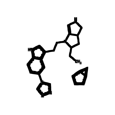 CCC1CC2CNC=C2N1CCc1c[nH]c2ccc(-n3cnnc3)cc12.c1cc2cc-2c1